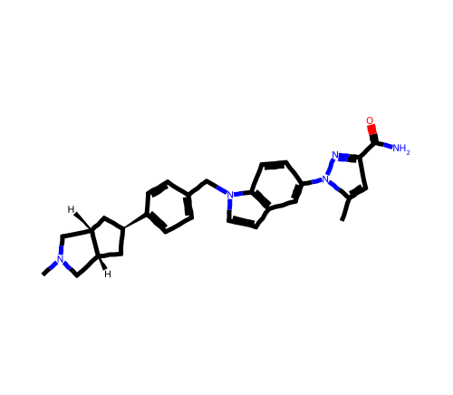 Cc1cc(C(N)=O)nn1-c1ccc2c(ccn2Cc2ccc([C@H]3C[C@@H]4CN(C)C[C@@H]4C3)cc2)c1